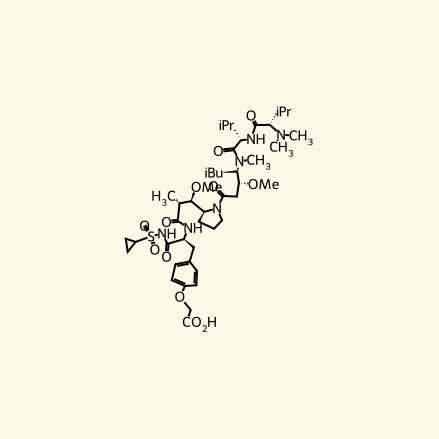 CC[C@H](C)[C@@H]([C@@H](CC(=O)N1CCC[C@H]1[C@H](OC)[C@@H](C)C(=O)N[C@@H](Cc1ccc(OCC(=O)O)cc1)C(=O)NS(=O)(=O)C1CC1)OC)N(C)C(=O)[C@@H](NC(=O)[C@H](C(C)C)N(C)C)C(C)C